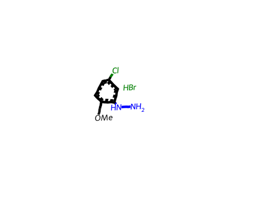 Br.COc1ccc(Cl)cc1NN